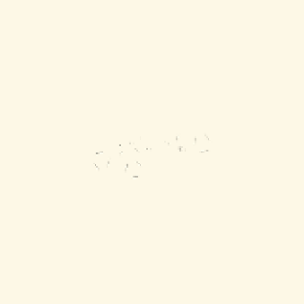 C[C@H]1CN(C(=O)Nc2ccc(F)cc2F)CCN1c1nnc(-c2ccc(F)cc2)c2ccccc12